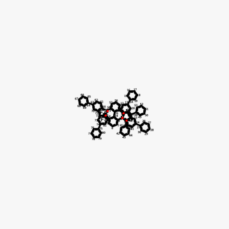 FC(F)(F)c1cccc(-n2c3ccc(-c4ccccc4)cc3c3cc(-c4ccccc4)ccc32)c1-c1c(-c2nc(-c3ccccc3)nc(-c3ccccc3)n2)cccc1-n1c2ccc(-c3ccccc3)cc2c2cc(-c3ccccc3)ccc21